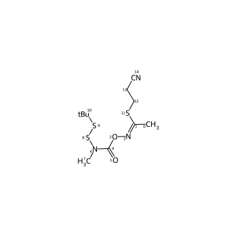 CC(=NOC(=O)N(C)SSC(C)(C)C)SCCC#N